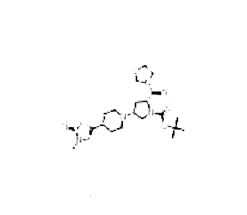 Cn1nc(C2CCN([C@H]3C[C@@H](C(=O)N4CCSC4)N(C(=O)OC(C)(C)C)C3)CC2)oc1=O